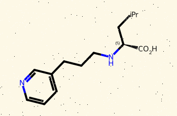 CC(C)C[C@H](NCCCc1cccnc1)C(=O)O